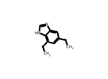 CCc1cc(CC)c2[nH]cnc2c1